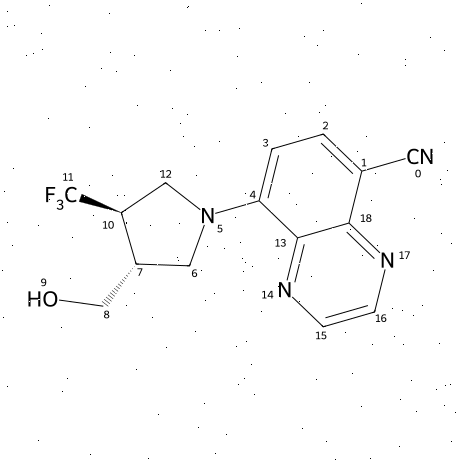 N#Cc1ccc(N2C[C@H](CO)[C@@H](C(F)(F)F)C2)c2nccnc12